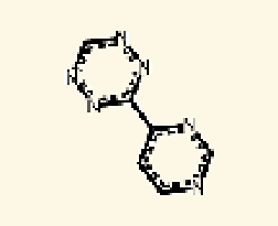 c1cc(-c2nncnn2)ncn1